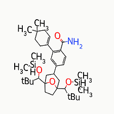 C[SiH](C)OC(C(C)(C)C)C12CCC(C(O[SiH](C)C)C(C)(C)C)(CC(c3ccc(C(N)=O)c(C4=CCC(C)(C)CC4)c3)C1)O2